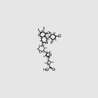 Cc1nc2cc(N3CCOC(c4cnn(C5CN(C(=O)O)C5)c4)C3)nc(-c3ccc(Cl)cc3F)c2c(=O)n1C